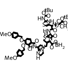 BOC(=O)C1=C(CN2CC(NC(=O)c3ccc(OCc4ccc(OC)cc4)c(OCc4ccc(OC)cc4)c3Cl)=C3NCCN32)CS[C@@H]2[C@H](NC(=O)/C(=N\OC(C)(C)C(=O)OC(C)(C)C)c3csc(NC(=O)OC(C)(C)C)n3)C(=O)N12